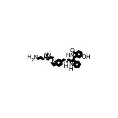 NCCCn1cc(Cn2ccc3ccc(CNCc4[nH]c5ccccc5c4C4NC(=O)c5ccc(O)cc54)cc32)nn1